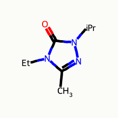 CCn1c(C)nn(C(C)C)c1=O